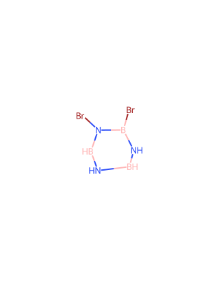 BrB1NBNBN1Br